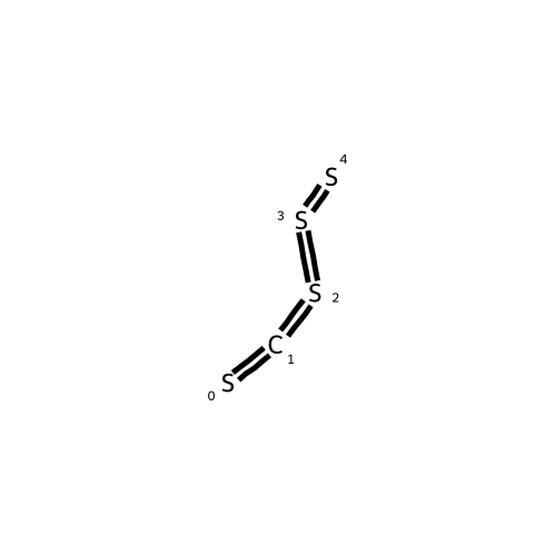 S=C=S=S=S